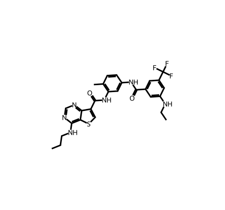 CCCNc1ncnc2c(C(=O)Nc3cc(NC(=O)c4cc(NCC)cc(C(F)(F)F)c4)ccc3C)csc12